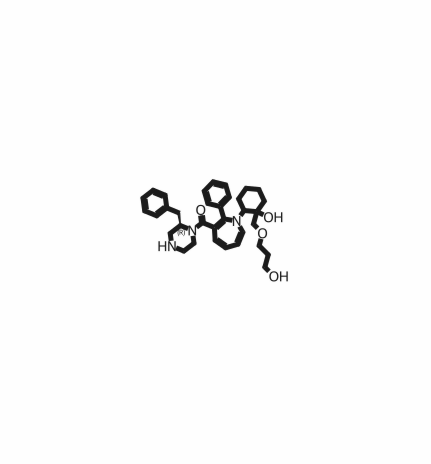 O=C(C1=C(c2ccccc2)N(C2CCCCC2(O)COCCCO)C=CC=C1)N1CCNC[C@H]1Cc1ccccc1